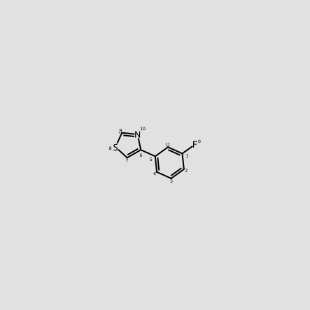 Fc1cccc(-c2cs[c]n2)c1